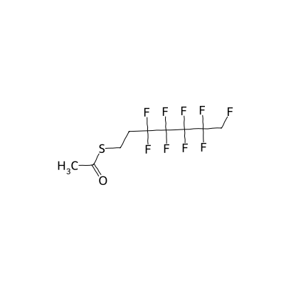 CC(=O)SCCC(F)(F)C(F)(F)C(F)(F)C(F)(F)CF